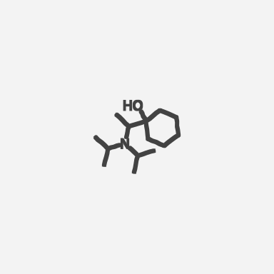 CC(C)N(C(C)C)C(C)C1(O)CCCCC1